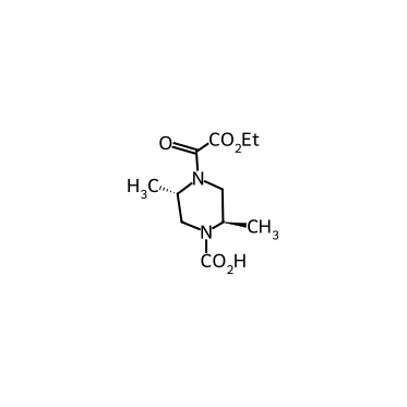 CCOC(=O)C(=O)N1C[C@@H](C)N(C(=O)O)C[C@@H]1C